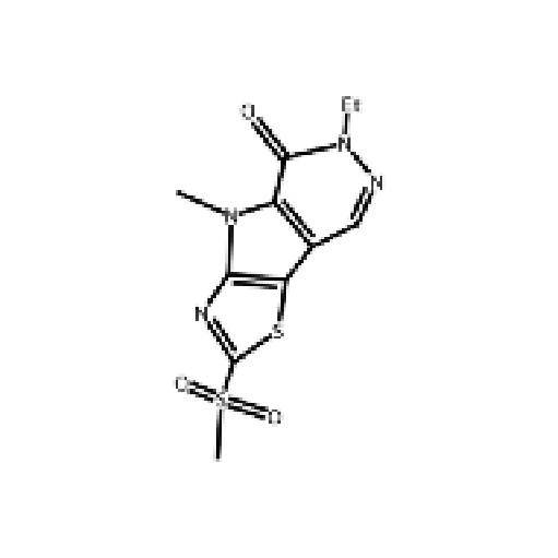 CCn1ncc2c3sc(S(C)(=O)=O)nc3n(C)c2c1=O